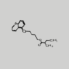 CCC(C)C(=O)OCCCCOc1cccc2ncccc12